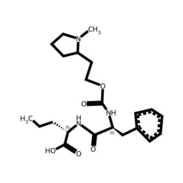 CCC[C@H](NC(=O)[C@H](Cc1ccccc1)NC(=O)OCCC1CCCN1C)C(=O)O